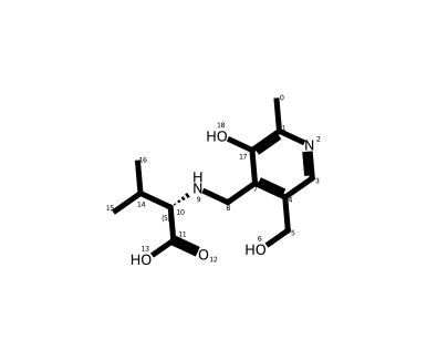 Cc1ncc(CO)c(CN[C@H](C(=O)O)C(C)C)c1O